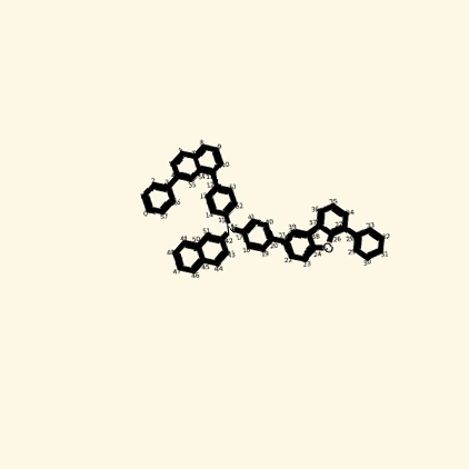 c1ccc(-c2ccc3cccc(-c4ccc(N(c5ccc(-c6ccc7oc8c(-c9ccccc9)cccc8c7c6)cc5)c5ccc6ccccc6c5)cc4)c3c2)cc1